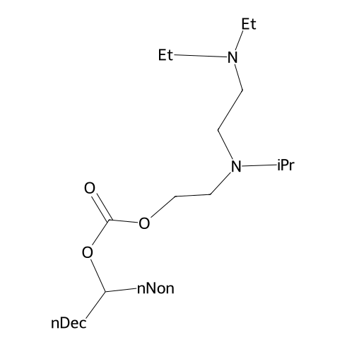 CCCCCCCCCCC(CCCCCCCCC)OC(=O)OCCN(CCN(CC)CC)C(C)C